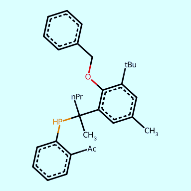 CCCC(C)(Pc1ccccc1C(C)=O)c1cc(C)cc(C(C)(C)C)c1OCc1ccccc1